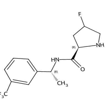 C[C@@H](NC(=O)[C@H]1CC(F)CN1)c1cccc(C(F)(F)F)c1